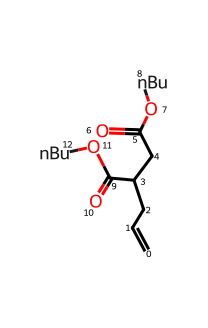 C=CCC(CC(=O)OCCCC)C(=O)OCCCC